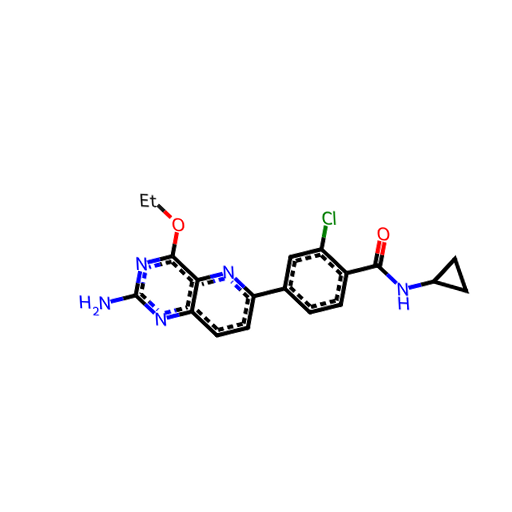 CCOc1nc(N)nc2ccc(-c3ccc(C(=O)NC4CC4)c(Cl)c3)nc12